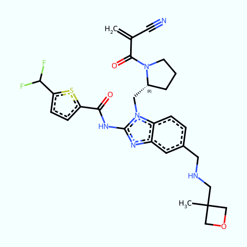 C=C(C#N)C(=O)N1CCC[C@@H]1Cn1c(NC(=O)c2ccc(C(F)F)s2)nc2cc(CNCC3(C)COC3)ccc21